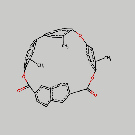 Cc1cc2ccc1OC(=O)c1ccc3cc(ccc3c1)C(=O)Oc1ccc(cc1C)-c1ccc(c(C)c1)O2